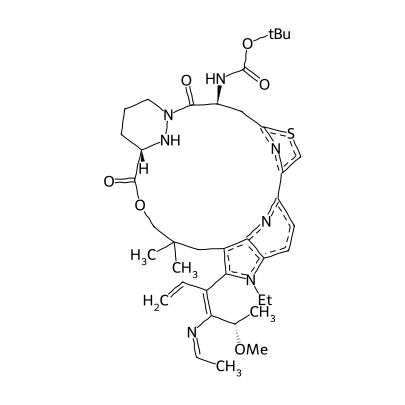 C=C/C(=C(\N=C/C)[C@H](C)OC)c1c2c3nc(ccc3n1CC)-c1csc(n1)C[C@H](NC(=O)OC(C)(C)C)C(=O)N1CCC[C@H](N1)C(=O)OCC(C)(C)C2